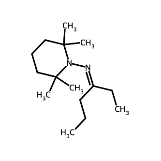 CCCC(CC)=NN1C(C)(C)CCCC1(C)C